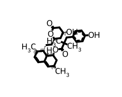 C[C@H]1C=C2C=C[C@H](C)[C@H](CC[C@@H]3C[C@@H](O)CC(=O)O3)[C@H]2[C@@H](OC(=O)C(C)(C)Cc2ccc(O)cc2)C1